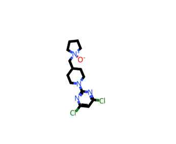 [O-][N+]1(CC2CCN(c3nc(Cl)cc(Cl)n3)CC2)CCCC1